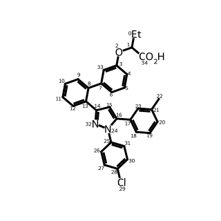 CCC(Oc1cccc(-c2ccccc2-c2cc(-c3cccc(C)c3)n(-c3ccc(Cl)cc3)n2)c1)C(=O)O